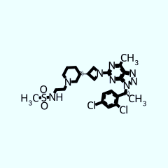 Cc1nc(N2CC([C@H]3CCCN(CCNS(C)(=O)=O)C3)C2)nc2c1nnn2[C@H](C)c1ccc(Cl)cc1Cl